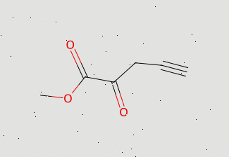 C#CCC(=O)C(=O)OC